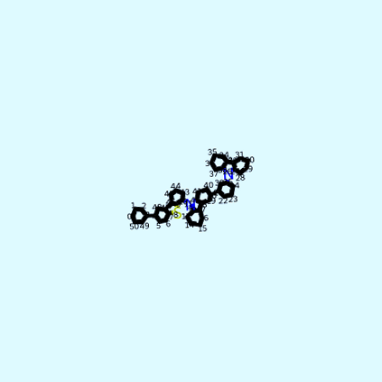 c1ccc(-c2ccc3sc4c(-n5c6ccccc6c6cc(-c7cccc(-n8c9ccccc9c9ccccc98)c7)ccc65)cccc4c3c2)cc1